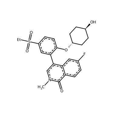 CCS(=O)(=O)c1ccc(O[C@H]2CC[C@H](O)CC2)c(-c2cn(C)c(=O)c3ccc(F)cc23)c1